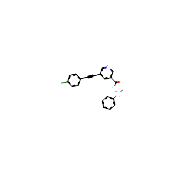 CS(=O)(=NC(=O)c1cncc(C#Cc2ccc(Cl)cc2)c1)c1ccccc1